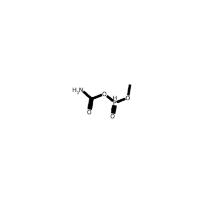 CO[PH](=O)OC(N)=O